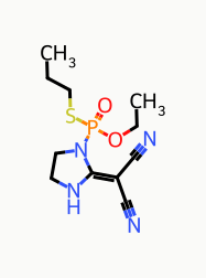 CCCSP(=O)(OCC)N1CCNC1=C(C#N)C#N